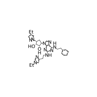 CCc1cnn([C@H]2C[C@@H](n3cnc4c(NCCc5ccccc5)nc(NCCc5cn(CC)cn5)nc43)[C@H](O)[C@@H]2O)c1